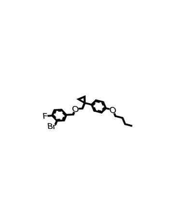 CCCCOc1ccc(C2(COCc3ccc(F)c(Br)c3)CC2)cc1